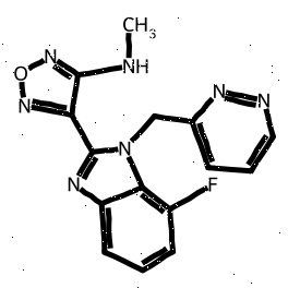 CNc1nonc1-c1nc2cccc(F)c2n1Cc1cccnn1